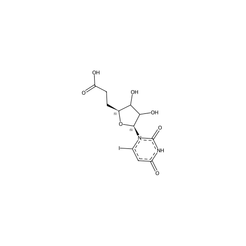 O=C(O)CC[C@@H]1O[C@H](n2c(I)cc(=O)[nH]c2=O)C(O)C1O